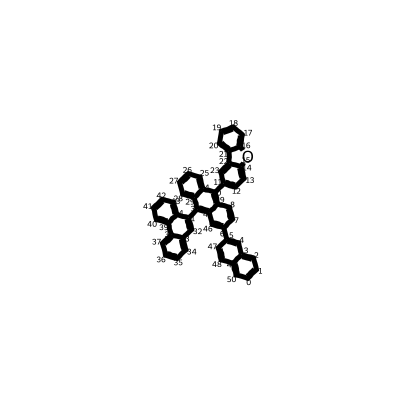 c1ccc2cc(-c3ccc4c(-c5ccc6oc7ccccc7c6c5)c5ccccc5c(-c5cc6ccccc6c6ccccc56)c4c3)ccc2c1